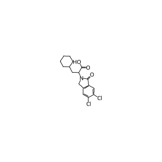 O=C(O)C(CC1CCCCC1)N1Cc2cc(Cl)c(Cl)cc2C1=O